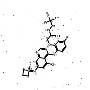 C[C@@H](Oc1cc(F)ccc1Nc1ncnc2cc(N=S3(=O)CCC3)cc(Cl)c12)C(O)NCC(F)(F)F